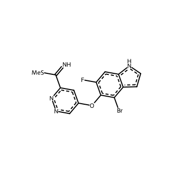 CSC(=N)c1cc(Oc2c(F)cc3[nH]ccc3c2Br)cnn1